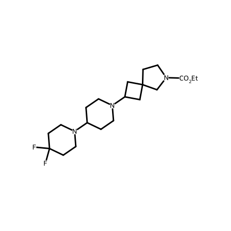 CCOC(=O)N1CCC2(CC(N3CCC(N4CCC(F)(F)CC4)CC3)C2)C1